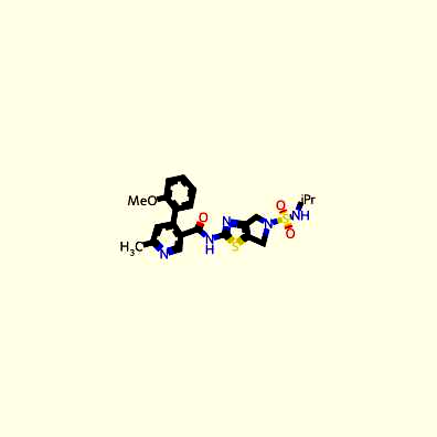 COc1ccccc1-c1cc(C)ncc1C(=O)Nc1nc2c(s1)CN(S(=O)(=O)NC(C)C)C2